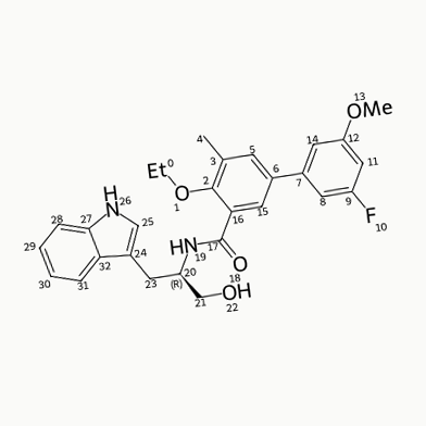 CCOc1c(C)cc(-c2cc(F)cc(OC)c2)cc1C(=O)N[C@@H](CO)Cc1c[nH]c2ccccc12